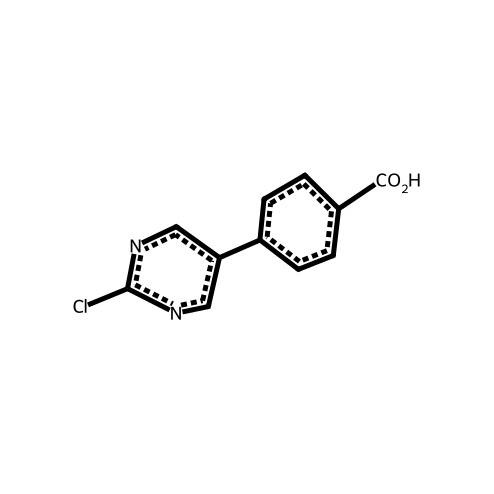 O=C(O)c1ccc(-c2cnc(Cl)nc2)cc1